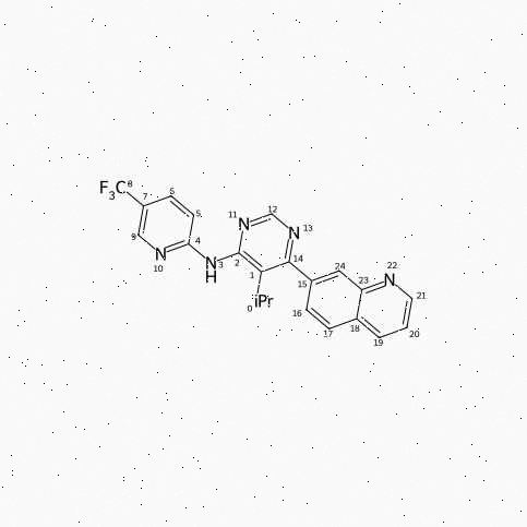 CC(C)c1c(Nc2ccc(C(F)(F)F)cn2)ncnc1-c1ccc2cccnc2c1